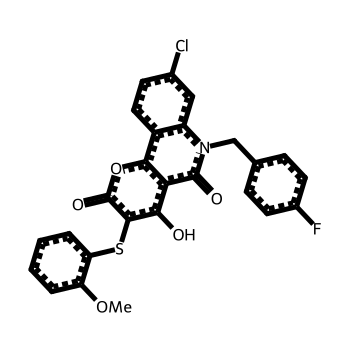 COc1ccccc1Sc1c(O)c2c(=O)n(Cc3ccc(F)cc3)c3cc(Cl)ccc3c2oc1=O